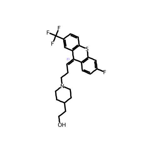 OCCC1CCN(CC/C=C2\c3ccc(F)cc3Sc3ccc(C(F)(F)F)cc32)CC1